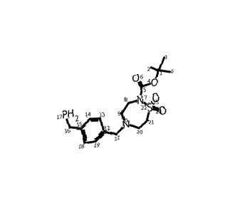 CC(C)(C)OC(=O)N1CCN(Cc2ccc(CP)cc2)CCS1(=O)=O